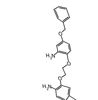 Cc1ccc(N)c(OCCOc2ccc(OCc3ccccc3)cc2N)c1